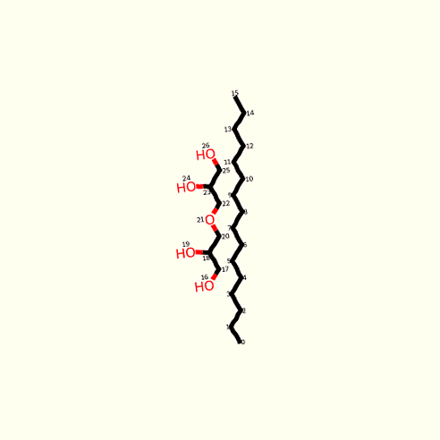 CCCCCCCCCCCCCCCC.OCC(O)COCC(O)CO